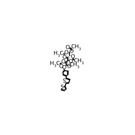 CO[C@@H](Oc1ccc(-c2ccc(-c3cccs3)s2)cc1)[C@H](OC(C)=O)C(OC(C)=O)[C@@H](CCOC(C)=O)OC(C)=O